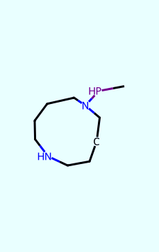 CPN1CCCCNCCCC1